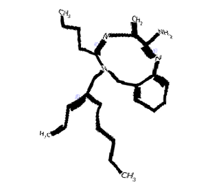 C=C/C=C(\CCCCC)CN1CC2=CCCC=C2/N=C(/N)C(=C)/N=C\1CCCC